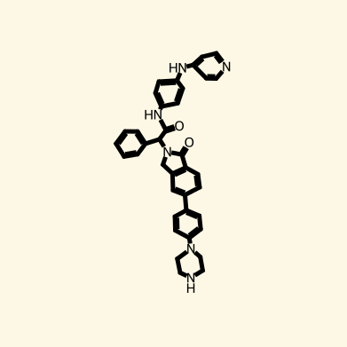 O=C(Nc1ccc(Nc2ccncc2)cc1)C(c1ccccc1)N1Cc2cc(-c3ccc(N4CCNCC4)cc3)ccc2C1=O